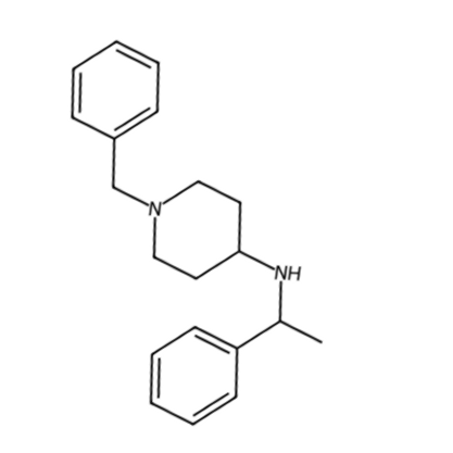 CC(NC1CCN(Cc2ccccc2)CC1)c1ccccc1